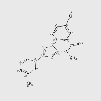 Cn1c(=O)c2cc(Cl)ccc2n2nc(-c3ccnc(C(F)(F)F)c3)cc12